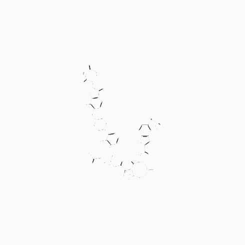 CN1CC[C@H]2CC[C@@H](C(=O)N[C@@H](CCC(N)=O)COc3cccc(N4CCN(Cc5ccc6c(c5F)CN(C5CCC(=O)NC5=O)C6=O)CC4)c3Cl)N2C(=O)[C@@H](NC(=O)c2cc3cc(C(F)(F)P(=O)(O)O)ccc3[nH]2)C1